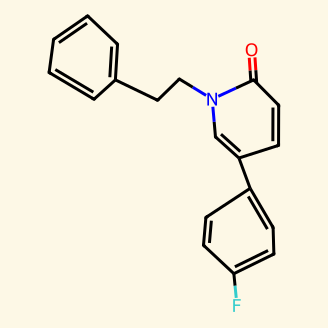 O=c1ccc(-c2ccc(F)cc2)cn1CCc1ccccc1